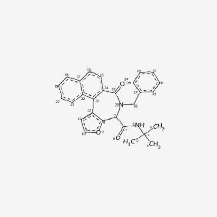 CC(C)(C)NC(=O)C1c2occc2-c2c(ccc3ccccc23)C(=O)N1Cc1ccccc1